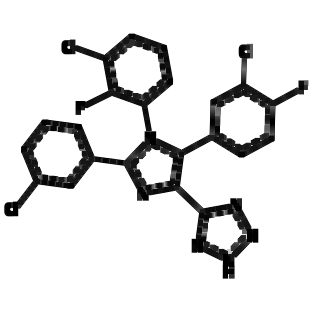 Fc1ccc(-c2c(-c3nn[nH]n3)nc(-c3cccc(Cl)c3)n2-c2cccc(Cl)c2F)cc1Cl